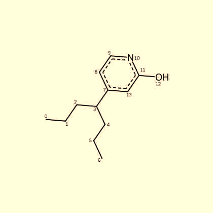 CCCC(CCC)c1ccnc(O)c1